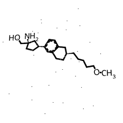 COCCCCC[C@H]1CCc2cc([C@H]3CC[C@](N)(CO)C3)ccc2C1